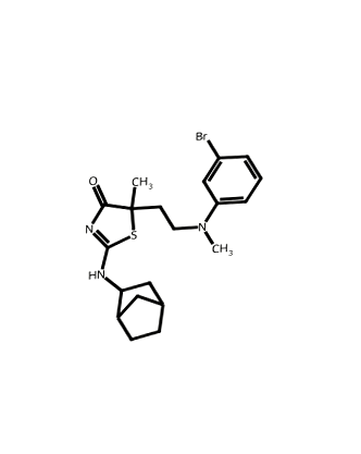 CN(CCC1(C)SC(NC2CC3CCC2C3)=NC1=O)c1cccc(Br)c1